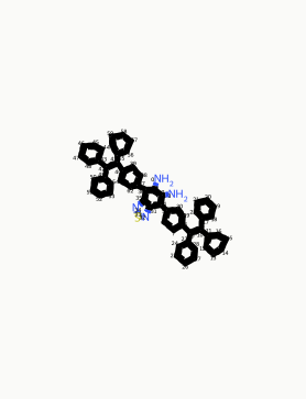 Nc1c(N)c(-c2ccc(C(=C(c3ccccc3)c3ccccc3)c3ccccc3)cc2)c2nsnc2c1-c1ccc(C(=C(c2ccccc2)c2ccccc2)c2ccccc2)cc1